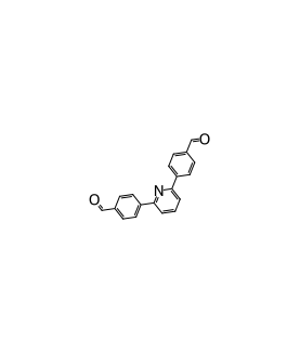 O=Cc1ccc(-c2cccc(-c3ccc(C=O)cc3)n2)cc1